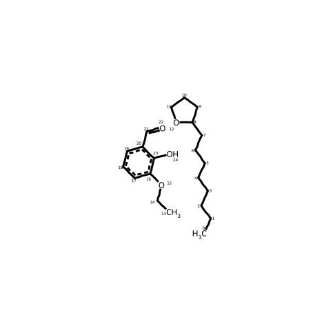 CCCCCCCCC1CCCO1.CCOc1cccc(C=O)c1O